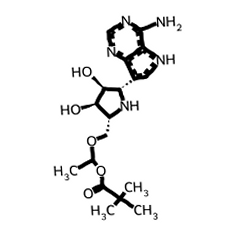 CC(OC[C@H]1N[C@@H](c2c[nH]c3c(N)ncnc23)[C@H](O)[C@@H]1O)OC(=O)C(C)(C)C